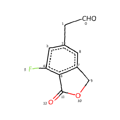 O=CCc1cc(F)c2c(c1)COC2=O